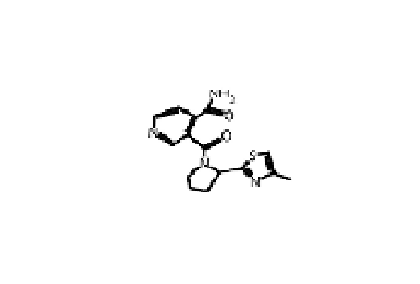 Cc1csc([C@H]2CCCN2C(=O)c2cnccc2C(N)=O)n1